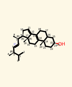 CC(C)[C@@H](C)/C=C/[C@@H](C)[C@H]1CC=C2C3=C(CC[C@@]21C)[C@@]1(C)CC[C@H](O)CC1CC3